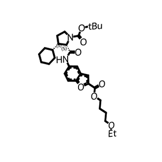 CCOCCCCOC(=O)c1cc2cc(NC(=O)[C@@H]3[C@H](C4CCCCC4)CCN3C(=O)OC(C)(C)C)ccc2o1